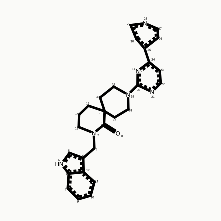 O=C1N(Cc2c[nH]c3ccccc23)CCCC12CCN(c1nccc(-c3ccncc3)n1)CC2